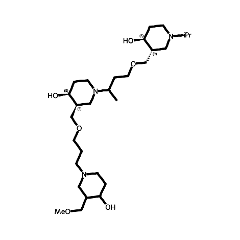 COCC1CN(CCCOC[C@@H]2CN(C(C)CCOC[C@H]3CN(C(C)C)CC[C@@H]3O)CC[C@@H]2O)CCC1O